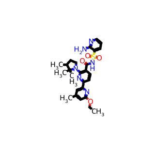 CCOc1cc(C)cc(-c2ccc(C(=O)NS(=O)(=O)c3cccnc3N)c(N3CCC(C)C3(C)C)n2)n1